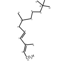 CC(/C=C/CC(C)CCCC(C)(C)O)=C\C(=O)O